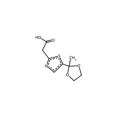 CC1(c2cnc(CC(=O)O)s2)OCCO1